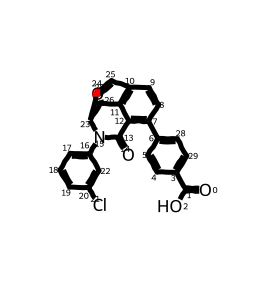 O=C(O)c1ccc(-c2ccc3c4c2C(=O)N(c2cccc(Cl)c2)C(C=C3)C4=O)cc1